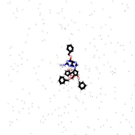 Nc1nc(OCc2ccccc2)c2ncn(C3CC(OCc4ccccc4)C(COCc4ccccc4)[C@@]3(O)C3(O)CCCC3)c2n1